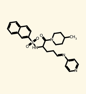 CC1CCN(C(=O)C(CCC=Nc2ccncc2)NS(=O)(=O)c2ccc3ccccc3c2)CC1